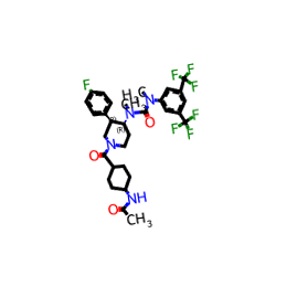 CC(=O)NC1CCC(C(=O)N2CC[C@@H](N(C)C(=O)N(C)c3cc(C(F)(F)F)cc(C(F)(F)F)c3)[C@H](c3ccc(F)cc3)C2)CC1